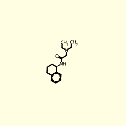 CCN(CC)CC(=O)N[C@@H]1CCCc2ccccc21